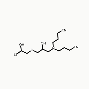 CCC(O)COCC(O)CN(CCCC#N)CCCC#N